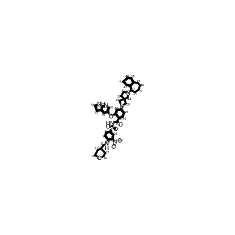 O=C(NS(=O)(=O)c1ccc(NCC2CCOCC2)c([N+](=O)[O-])c1)c1ccc(N2CC3(CCN(C4CCCCc5ccccc54)C3)C2)cc1Oc1cnc2[nH]ccc2c1